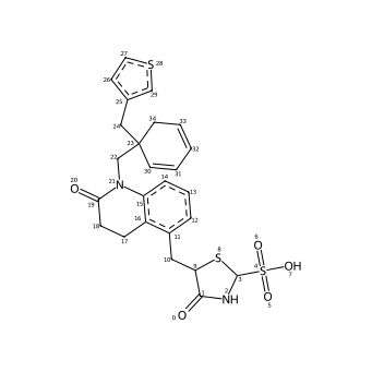 O=C1NC(S(=O)(=O)O)SC1Cc1cccc2c1CCC(=O)N2CC1(Cc2ccsc2)C=CC=CC1